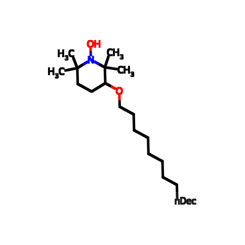 CCCCCCCCCCCCCCCCCCOC1CCC(C)(C)N(O)C1(C)C